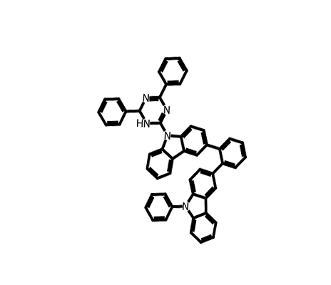 c1ccc(C2=NC(c3ccccc3)NC(n3c4ccccc4c4cc(-c5ccccc5-c5ccc6c(c5)c5ccccc5n6-c5ccccc5)ccc43)=N2)cc1